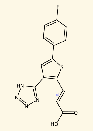 O=C(O)/C=C/c1sc(-c2ccc(F)cc2)cc1-c1nnn[nH]1